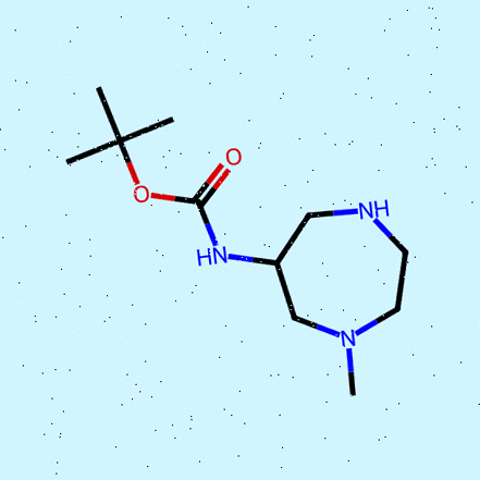 CN1CCNCC(NC(=O)OC(C)(C)C)C1